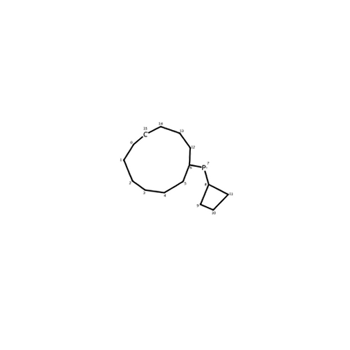 C1CCCCCC([P]C2CCC2)CCCC1